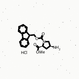 COC(=O)[C@@H]1C[C@H](N)CN1C(=O)OCC1c2ccccc2-c2ccccc21.Cl